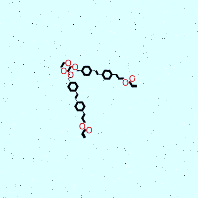 C=CC(=O)OCCC[C@H]1CC[C@H](CC[C@H]2CC[C@H](CO[C@@H]3OCCO[C@H]3OC[C@H]3CC[C@H](CC[C@H]4CC[C@H](CCCOC(=O)C=C)CC4)CC3)CC2)CC1